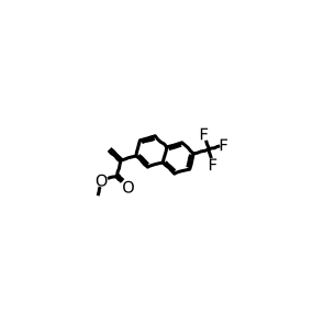 C=C(C(=O)OC)c1ccc2cc(C(F)(F)F)ccc2c1